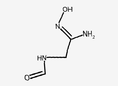 NC(CNC=O)=NO